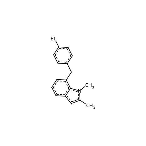 CCc1ccc(Cc2cccc3[c]c(C)n(C)c23)cc1